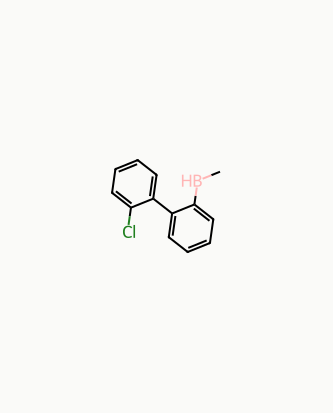 CBc1ccccc1-c1ccccc1Cl